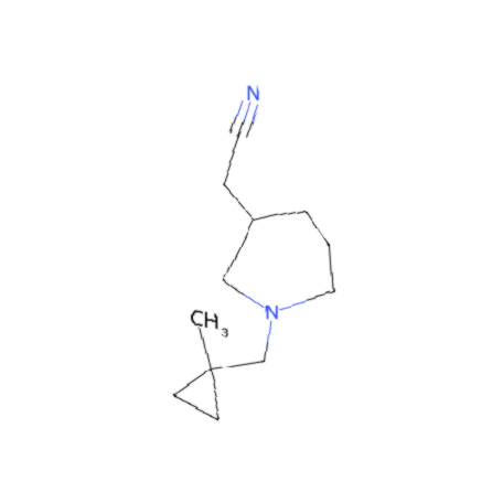 CC1(CN2CCCC(CC#N)C2)CC1